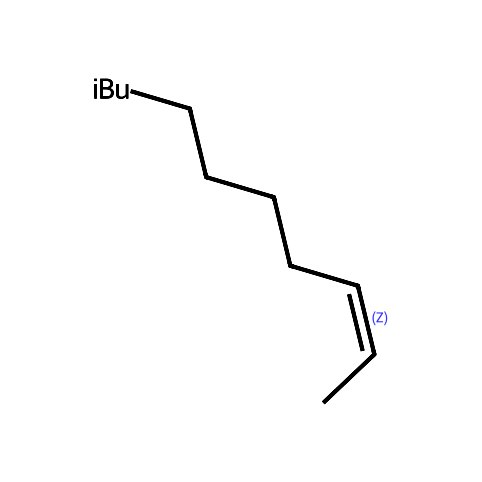 [CH2]CC(C)CCCC/C=C\C